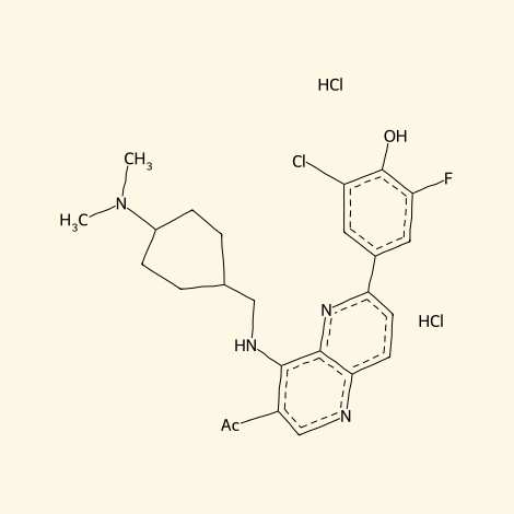 CC(=O)c1cnc2ccc(-c3cc(F)c(O)c(Cl)c3)nc2c1NCC1CCC(N(C)C)CC1.Cl.Cl